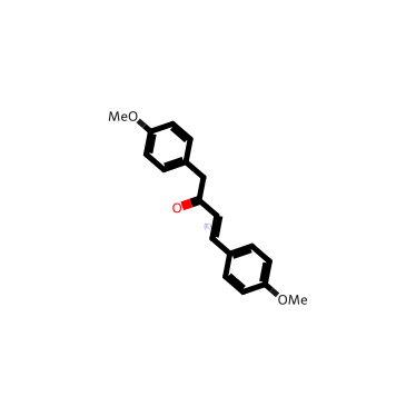 COc1ccc(/C=C/C(=O)Cc2ccc(OC)cc2)cc1